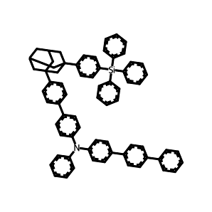 c1ccc(-c2ccc(-c3ccc(N(c4ccccc4)c4ccc(-c5ccc(C67CC8CC(C6)CC(c6ccc([Si](c9ccccc9)(c9ccccc9)c9ccccc9)cc6)(C8)C7)cc5)cc4)cc3)cc2)cc1